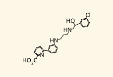 O=C(O)c1cccc(-c2cccc(NCCCNC[C@@H](O)c3cccc(Cl)c3)c2)n1